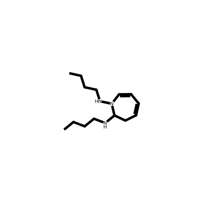 CCCCNC1CC=CC=CN1NCCCC